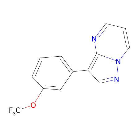 FC(F)(F)Oc1cccc(-c2cnn3cccnc23)c1